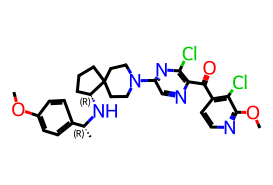 COc1ccc([C@@H](C)N[C@@H]2CCCC23CCN(c2cnc(C(=O)c4ccnc(OC)c4Cl)c(Cl)n2)CC3)cc1